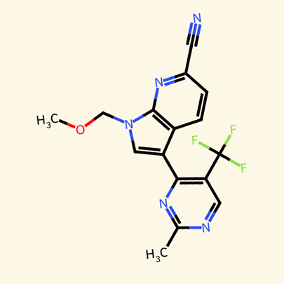 COCn1cc(-c2nc(C)ncc2C(F)(F)F)c2ccc(C#N)nc21